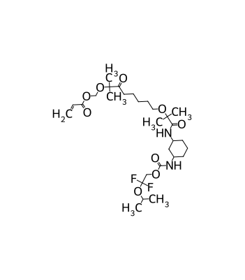 C=CC(=O)OCOC(C)(C)C(=O)CCCCCOC(C)(C)C(=O)NC1CCCC(NC(=O)OCC(F)(F)OC(C)C)C1